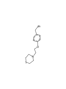 CC(C)Cc1ccc(OCCN2CCSCC2)cc1